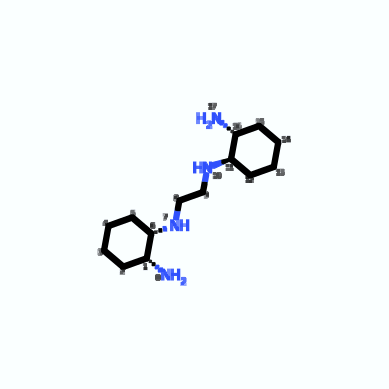 N[C@@H]1CCCC[C@@H]1NCCN[C@@H]1CCCC[C@H]1N